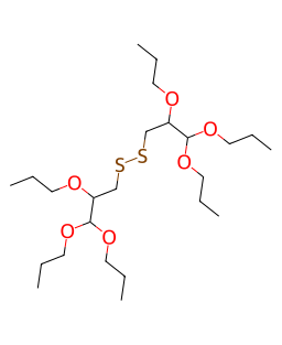 CCCOC(CSSCC(OCCC)C(OCCC)OCCC)C(OCCC)OCCC